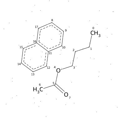 CCCCOC(C)=O.c1ccc2ccccc2c1